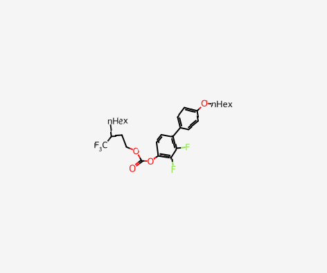 CCCCCCOc1ccc(-c2ccc(OC(=O)OCCC(CCCCCC)C(F)(F)F)c(F)c2F)cc1